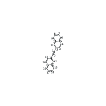 C(#Cc1ccc2ccccc2c1)c1ccc2c[c]ccc2c1